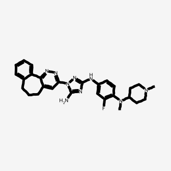 CN1CCC(N(C)c2ccc(Nc3nc(N)n(-c4cc5c(nn4)-c4ccccc4CCC5)n3)cc2F)CC1